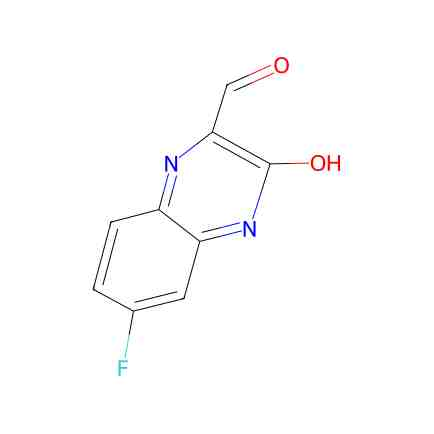 O=Cc1nc2ccc(F)cc2nc1O